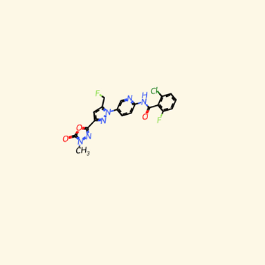 Cn1nc(-c2cc(CF)n(-c3ccc(NC(=O)c4c(F)cccc4Cl)nc3)n2)oc1=O